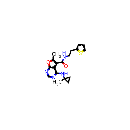 Cc1oc2ncnc(NC3(C)CC3)c2c1C(=O)NCCc1cccs1